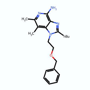 CCCCc1nc2c(N)nc(C)c(C)c2n1CCOCc1ccccc1